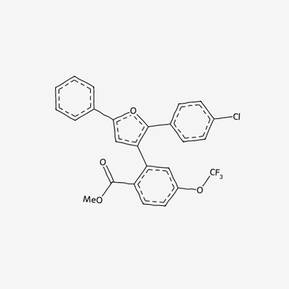 COC(=O)c1ccc(OC(F)(F)F)cc1-c1cc(-c2ccccc2)oc1-c1ccc(Cl)cc1